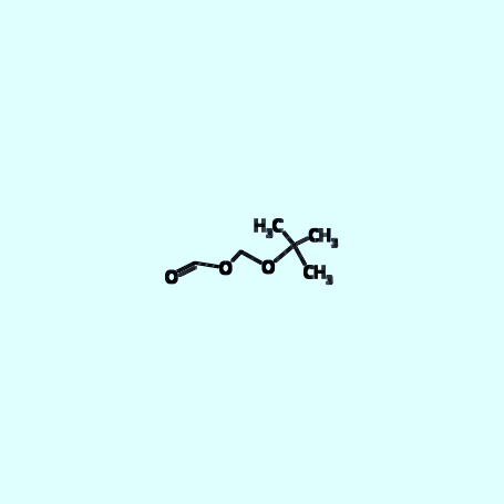 CC(C)(C)OCOC=O